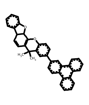 CC1(C)C2=C(Oc3ccc(-c4ccc5c6ccccc6c6ccccc6c5c4)cc31)C1Oc3ccccc3C1C=C2